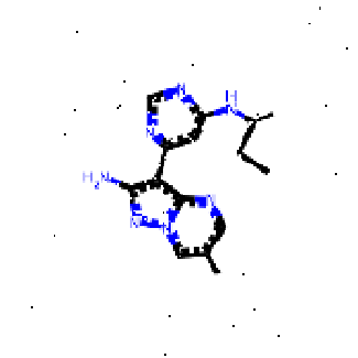 CC[C@H](C)Nc1cc(-c2c(N)nn3cc(C)cnc23)ncn1